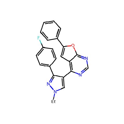 CCn1cc(-c2ncnc3oc(-c4ccccc4)cc23)c(-c2ccc(F)cc2)n1